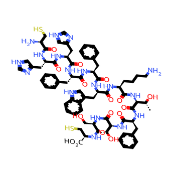 C[C@@H](O)[C@H](NC(=O)[C@H](CCCCN)NC(=O)[C@@H](Cc1c[nH]c2ccccc12)NC(=O)[C@H](Cc1ccccc1)NC(=O)[C@H](Cc1ccccc1)NC(=O)[C@H](Cc1c[nH]cn1)NC(=O)[C@H](Cc1c[nH]cn1)NC(=O)[C@@H](N)CS)C(=O)N[C@@H](Cc1ccccc1)C(=O)N[C@H](C(=O)N[C@H](CO)C(=O)N[C@@H](CS)C(=O)O)[C@@H](C)O